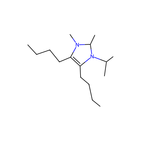 CCCCC1=C(CCCC)N(C(C)C)C(C)N1C